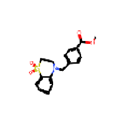 COC(=O)c1ccc(CN2CCS(=O)(=O)c3ccccc32)cc1